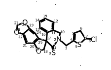 S=C1N(CC2=CCC(Cl)S2)Cc2ccccc2C12COc1cc3c(cc12)OCO3